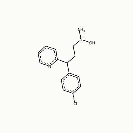 CN(O)CCC(c1ccc(Cl)cc1)c1ccccn1